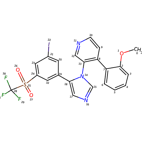 COc1ccccc1-c1ccncc1-n1cncc1-c1cc(I)cc(S(=O)(=O)C(F)(F)F)c1